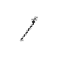 O=C(O)NC1CC(COCCOCCOCCOCCOCCO)C1